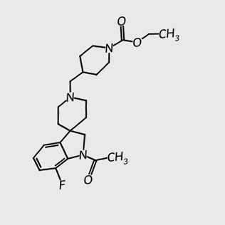 CCOC(=O)N1CCC(CN2CCC3(CC2)CN(C(C)=O)c2c(F)cccc23)CC1